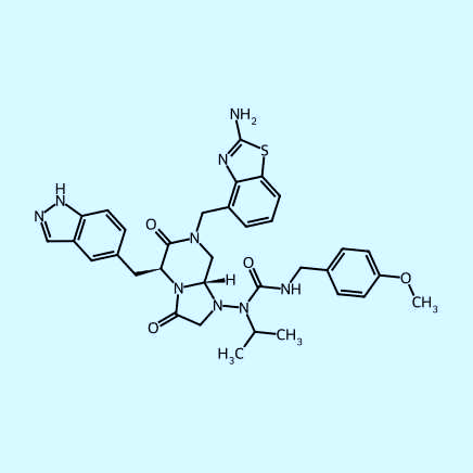 COc1ccc(CNC(=O)N(C(C)C)N2CC(=O)N3[C@@H](Cc4ccc5[nH]ncc5c4)C(=O)N(Cc4cccc5sc(N)nc45)C[C@@H]32)cc1